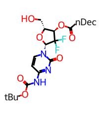 CCCCCCCCCCC(=O)O[C@@H]1[C@@H](CO)O[C@@H](n2ccc(NC(=O)OC(C)(C)C)nc2=O)C1(F)F